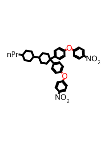 CCCC1CCC(C2CCC(c3ccc(Oc4ccc([N+](=O)[O-])cc4)cc3)(c3ccc(Oc4ccc([N+](=O)[O-])cc4)cc3)CC2)CC1